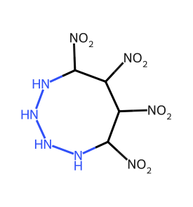 O=[N+]([O-])C1NNNNC([N+](=O)[O-])C([N+](=O)[O-])C1[N+](=O)[O-]